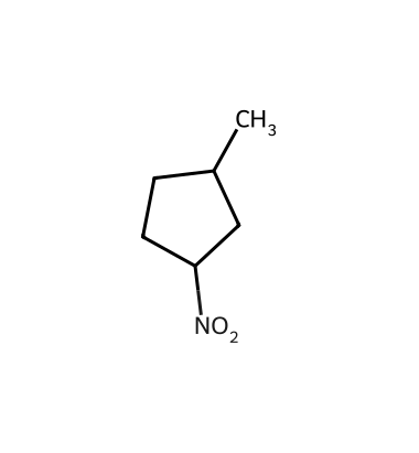 CC1CCC([N+](=O)[O-])C1